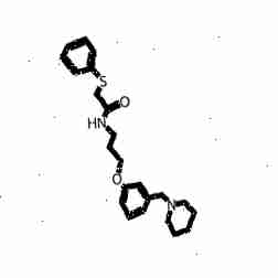 O=C(CSc1ccccc1)NCCCOc1cccc(CN2CCCCC2)c1